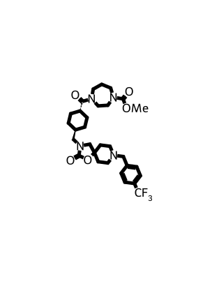 COC(=O)N1CCCN(C(=O)[C@H]2CC[C@H](CN3CC4(CCN(Cc5ccc(C(F)(F)F)cc5)CC4)OC3=O)CC2)CC1